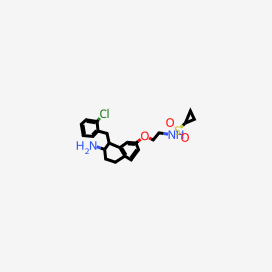 NC1CCc2ccc(OCCNS(=O)(=O)C3CC3)cc2C1Cc1ccccc1Cl